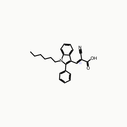 CCCCCCn1c(-c2ccccc2)c(/C=C(\C#N)C(=O)O)c2ccccc21